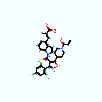 C=CC(=O)N1CCC(c2onc(-c3c(Cl)cc(Cl)cc3Cl)c2C(=O)n2ccc3c(/C=C(\C)C(=O)O)cccc32)CC1